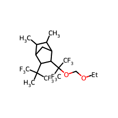 CCOCOC(C1C2CC(C(C)C2C)C1C(C)(C(F)(F)F)C(F)(F)F)(C(F)(F)F)C(F)(F)F